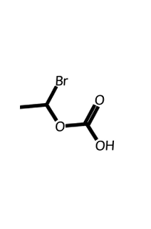 CC(Br)OC(=O)O